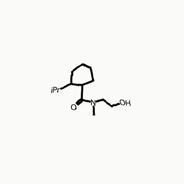 CC(C)C1CCCCC1C(=O)N(C)CCO